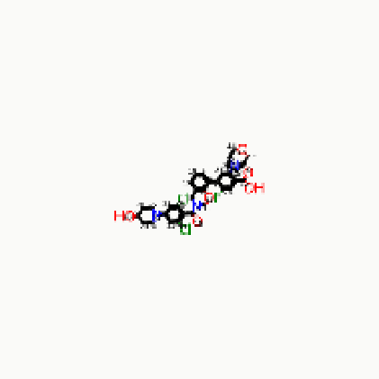 O=C(O)c1cc(F)c(-c2cccc3c2OCN(C(=O)c2c(Cl)cc(N4CCC(O)CC4)cc2Cl)C3)cc1N1C2CCC1COC2